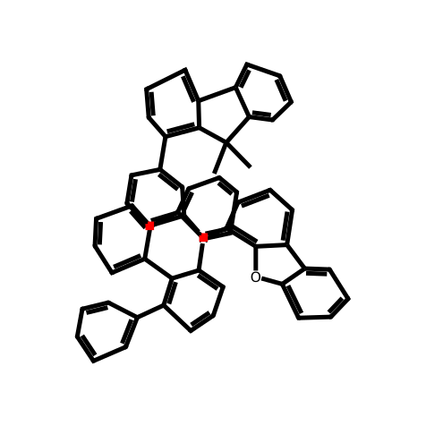 CC1(C)c2ccccc2-c2cccc(-c3cccc(N(c4cccc(-c5ccccc5)c4-c4ccccc4-c4ccccc4)c4cccc5c4oc4ccccc45)c3)c21